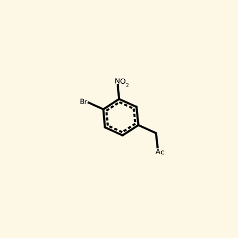 CC(=O)Cc1ccc(Br)c([N+](=O)[O-])c1